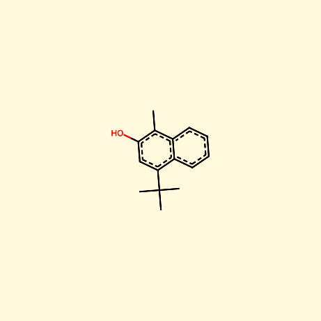 Cc1c(O)cc(C(C)(C)C)c2ccccc12